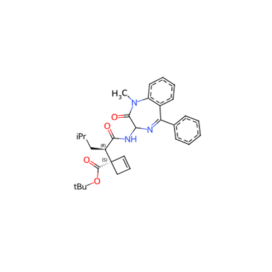 CC(C)C[C@@H](C(=O)NC1N=C(c2ccccc2)c2ccccc2N(C)C1=O)[C@@]1(C(=O)OC(C)(C)C)C=CC1